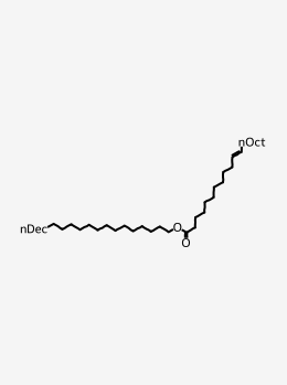 CCCCCCCCC=CCCCCCCCCCC(=O)OCCCCCCCCCCCCCCCCCCCCCCCC